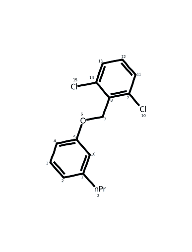 C[CH]Cc1cccc(OCc2c(Cl)cccc2Cl)c1